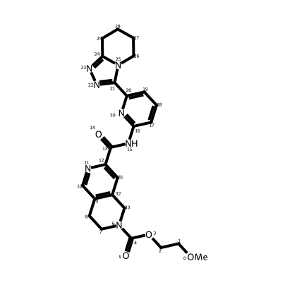 COCCOC(=O)N1CCc2cnc(C(=O)Nc3cccc(-c4nnc5n4CCCC5)n3)cc2C1